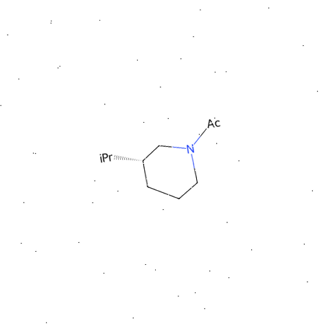 CC(=O)N1CCC[C@H](C(C)C)C1